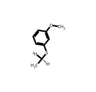 [1H][C@@]([2H])(C)Sc1cccc(OC)c1